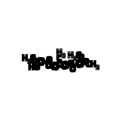 COc1ccc(C(=O)Oc2ccc3c(c2)C(C)c2cc(OC(=O)c4ccc(OC)c(OC)c4)ccc2-3)cc1O